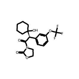 O=C1OCCN1C(=O)[C@H](c1cccc(OC(F)(F)F)c1)C1(O)CCCCC1